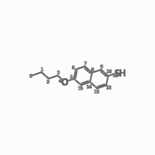 CCCCOc1ccc2cc(S)ccc2c1